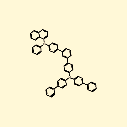 c1cccc(-c2ccc(N(c3ccc(-c4ccccc4)cc3)c3ccc(-c4cccc(-c5ccc(N(c6ccccc6)c6cccc7ccccc67)cc5)c4)cc3)cc2)c#1